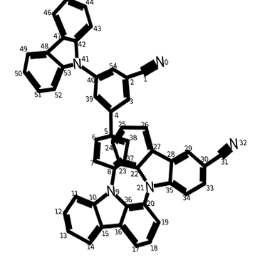 N#Cc1cc(-c2ccc(-n3c4ccccc4c4cccc(-n5c6ccccc6c6cc(C#N)ccc65)c43)cc2)cc(-n2c3ccccc3c3ccccc32)c1